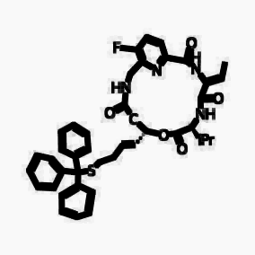 C/C=C1\NC(=O)c2ccc(F)c(n2)CNC(=O)C[C@@H](/C=C/CCSC(c2ccccc2)(c2ccccc2)c2ccccc2)OC(=O)[C@H](C(C)C)NC1=O